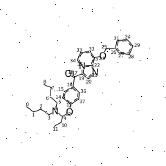 CCCCN(CCCC)C(CC)Oc1ccc(C(=O)c2cnc3c(OCc4ccccc4)cccn23)cc1